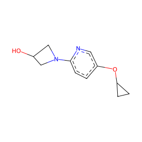 OC1CN(c2ccc(OC3CC3)cn2)C1